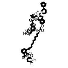 CC(C)(C)[C@H](NC(=O)c1cc2cc(C(F)(F)P(=O)(O)O)ccc2s1)C(=O)N1Cc2cc(OCC(=O)NCCCCCCCCCC#Cc3cccc4c3C(=O)N(C3CCC(=O)NC3=O)C4=O)ccc2C[C@H]1C(=O)N1CCC[C@H](c2ccccc2)C1